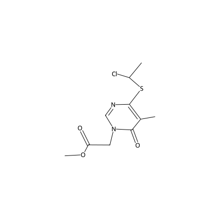 COC(=O)Cn1cnc(SC(C)Cl)c(C)c1=O